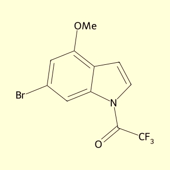 COc1cc(Br)cc2c1ccn2C(=O)C(F)(F)F